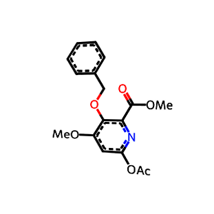 COC(=O)c1nc(OC(C)=O)cc(OC)c1OCc1ccccc1